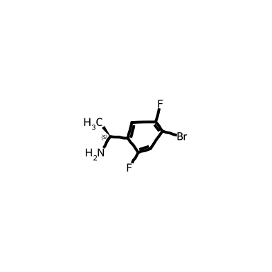 C[C@H](N)c1cc(F)c(Br)cc1F